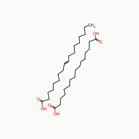 CCCCCCCC/C=C/CCCCCCCC(=O)O.O=C(O)CCCCCCCCCCCCCCC(=O)O